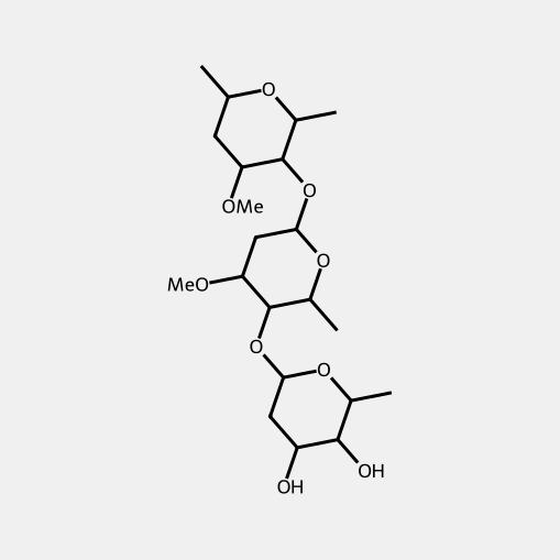 COC1CC(C)OC(C)C1OC1CC(OC)C(OC2CC(O)C(O)C(C)O2)C(C)O1